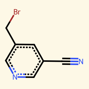 N#Cc1cncc(CBr)c1